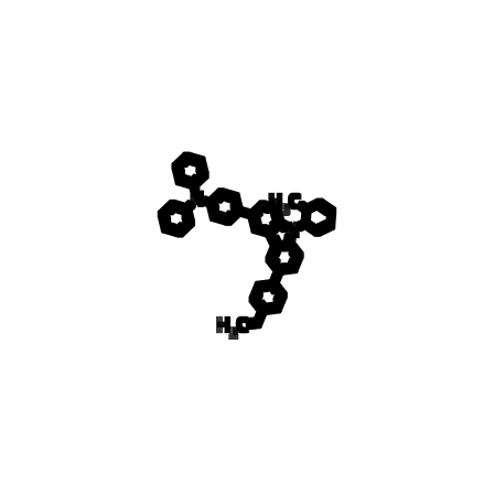 C=Cc1ccc(-c2ccc3c(c2)c2cc(-c4ccc(N(c5ccccc5)c5ccccc5)cc4)ccc2n3C2C=CC=CC2C)cc1